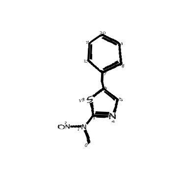 CN(N=O)c1ncc(-c2ccccc2)s1